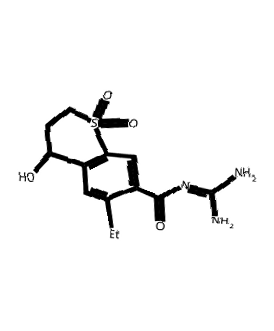 CCc1cc2c(cc1C(=O)N=C(N)N)S(=O)(=O)CCC2O